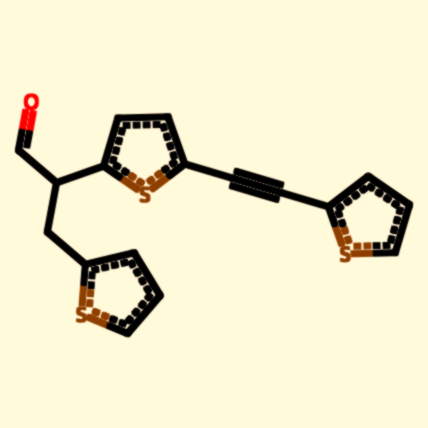 O=CC(Cc1cccs1)c1ccc(C#Cc2cccs2)s1